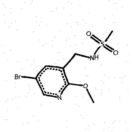 COc1ncc(Br)cc1CNS(C)(=O)=O